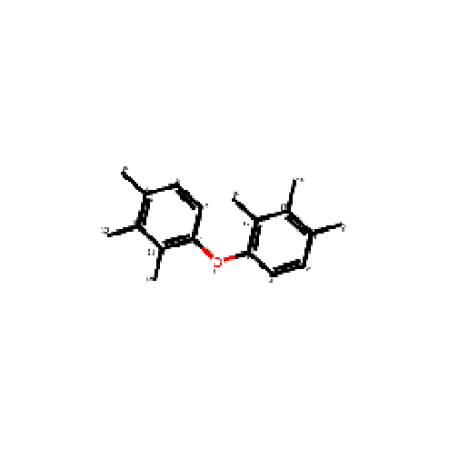 Cc1ccc(Oc2ccc(C)c(C)c2C)c(C)c1C